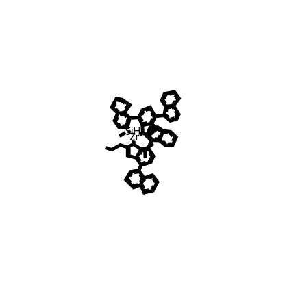 CCCC1=Cc2c(-c3cccc4ccccc34)ccc(-c3cccc4ccccc34)c2[CH]1[Zr]([CH]1C(CCC)=Cc2c(-c3cccc4ccccc34)ccc(-c3cccc4ccccc34)c21)[SiH](C)C